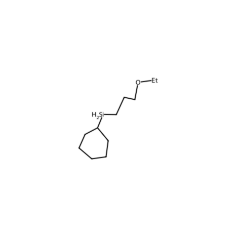 CCOCCC[SiH2]C1CCCCC1